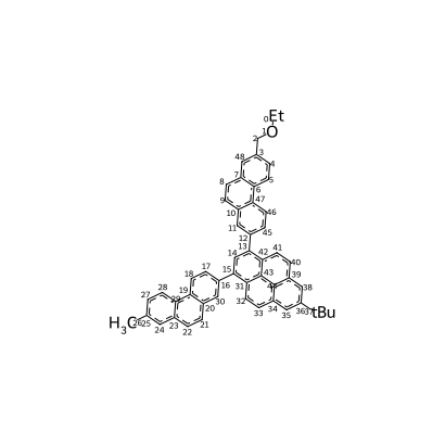 CCOCc1ccc2c(ccc3cc(-c4cc(-c5ccc6c(ccc7cc(C)ccc76)c5)c5ccc6cc(C(C)(C)C)cc7ccc4c5c67)ccc32)c1